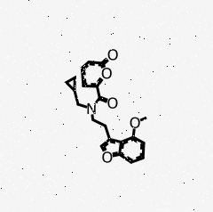 COc1cccc2occ(CCN(CC3CC3)C(=O)c3cccc(=O)o3)c12